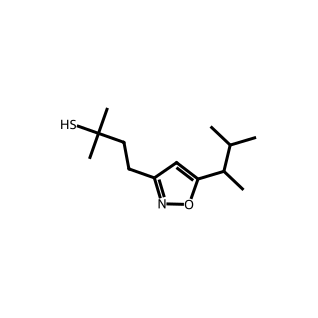 CC(C)C(C)c1cc(CCC(C)(C)S)no1